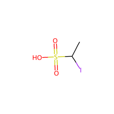 CC(I)S(=O)(=O)O